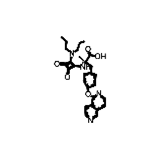 CCCN(CCC)c1c(N[C@@](C)(Cc2ccc(Oc3nccc4cnccc34)cc2)C(=O)O)c(=O)c1=O